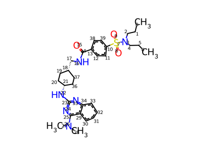 CCCN(CCC)S(=O)(=O)c1ccc(C(=O)NC[C@H]2CC[C@@H](Nc3nc(N(C)C)c4ccccc4n3)CC2)cc1